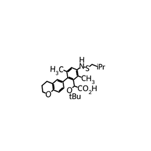 Cc1cc(NSCC(C)C)c(C)c(C(OC(C)(C)C)C(=O)O)c1-c1ccc2c(c1)CCCO2